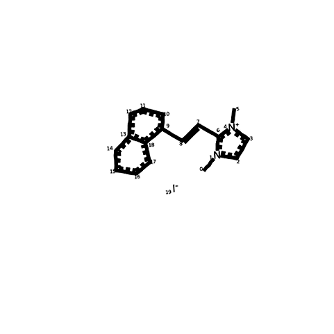 Cn1cc[n+](C)c1C=Cc1cccc2ccccc12.[I-]